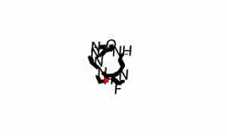 C[C@@H]1/C=C/c2ncc(F)cc2[C@@H]2CCCN2c2ccn3ncc(c3n2)C(=O)N1